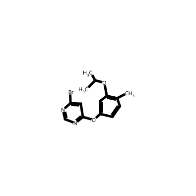 Cc1ccc(Oc2cc(Br)ncn2)cc1OC(C)C